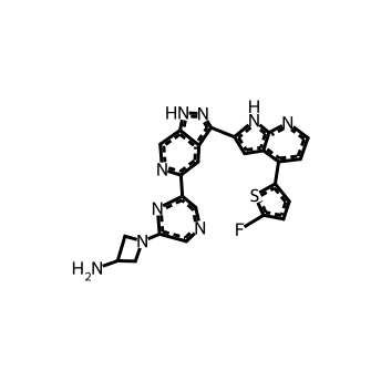 NC1CN(c2cncc(-c3cc4c(-c5cc6c(-c7ccc(F)s7)ccnc6[nH]5)n[nH]c4cn3)n2)C1